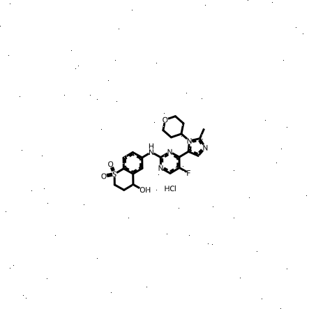 Cc1ncc(-c2nc(Nc3ccc4c(c3)C(O)CCS4(=O)=O)ncc2F)n1C1CCOCC1.Cl